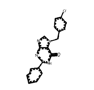 O=c1[nH]c(-c2ccccc2)nc2ncn(Cc3ccc(Cl)cc3)c12